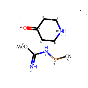 COC(=N)NSC#N.O=C1CCNCC1